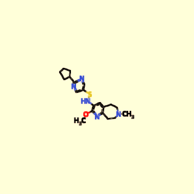 COc1nc2c(cc1NSc1cnc(C3CCCC3)nc1)CCN(C)CC2